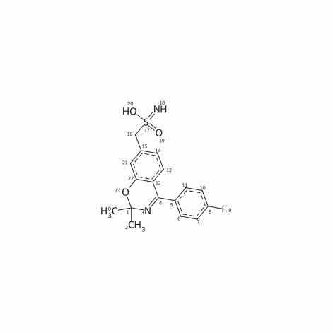 CC1(C)N=C(c2ccc(F)cc2)c2ccc(CS(=N)(=O)O)cc2O1